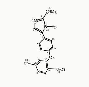 COc1ncc(-c2ccc(Oc3cc(Cl)ccc3C=O)cc2)n1C